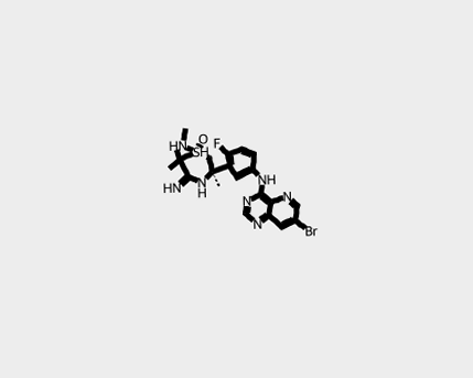 CN[SH]1(=O)C[C@@](C)(c2cc(Nc3ncnc4cc(Br)cnc34)ccc2F)NC(=N)C1(C)C